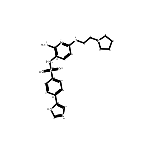 COc1nc(OCCN2CCCC2)ccc1NS(=O)(=O)c1ccc(-c2cnco2)cc1